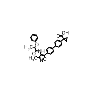 Cc1noc(-c2ccc(-c3ccc(C4(C(=O)O)CC4)cc3)cc2)c1NC(=O)C(C)Oc1ccccc1